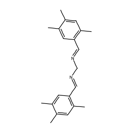 Cc1cc(C)c(C=NCN=Cc2cc(C)c(C)cc2C)cc1C